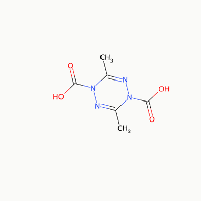 CC1=NN(C(=O)O)C(C)=NN1C(=O)O